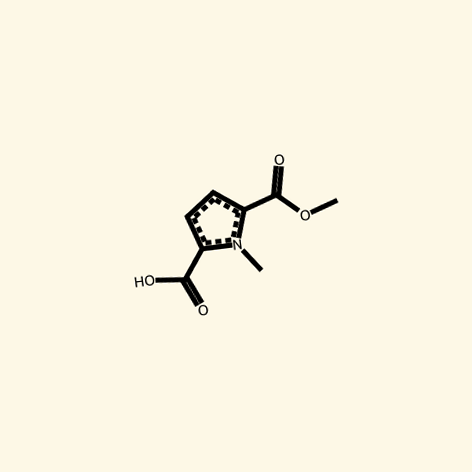 COC(=O)c1ccc(C(=O)O)n1C